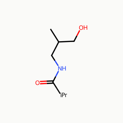 CC(CO)CNC(=O)C(C)C